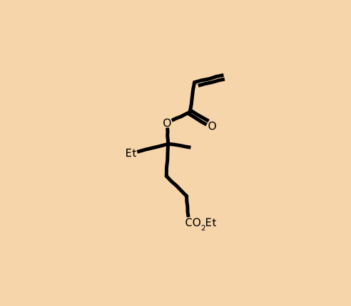 C=CC(=O)OC(C)(CC)CCC(=O)OCC